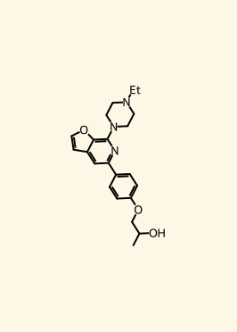 CCN1CCN(c2nc(-c3ccc(OCC(C)O)cc3)cc3ccoc23)CC1